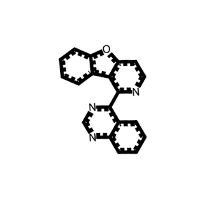 c1ccc2c(-c3nccc4oc5ccccc5c34)ncnc2c1